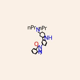 CCCN(CCC)CC1CCc2[nH]c3ccc(NC(=O)c4ccccc4N(C)C)cc3c2C1